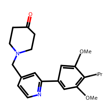 COc1cc(-c2cc(CN3CCC(=O)CC3)ccn2)cc(OC)c1C(C)C